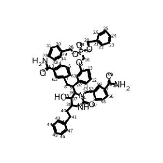 NC(=O)c1cccc(CC(c2cccc(OCP(=O)(OCc3ccccc3)OCc3ccccc3)c2)C2C(O)C(CCc3ccccc3)NC(=O)N2Cc2cccc(C(N)=O)c2)c1